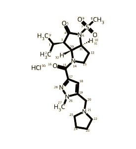 CC(C)[C@H]1C(=O)N(S(C)(=O)=O)[C@H]2CCN(C(=O)c3cc(CN4CCCC4)n(C)n3)[C@H]12.Cl